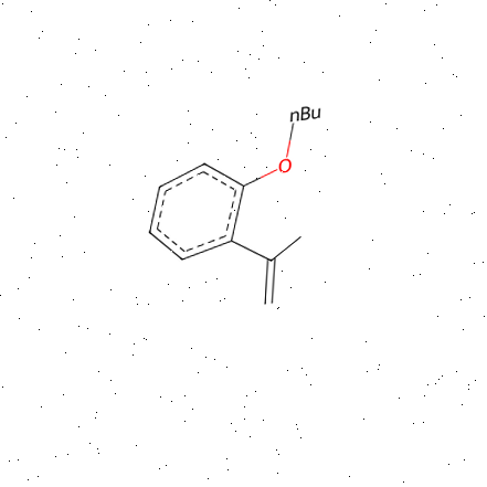 C=C(C)c1ccccc1OCCCC